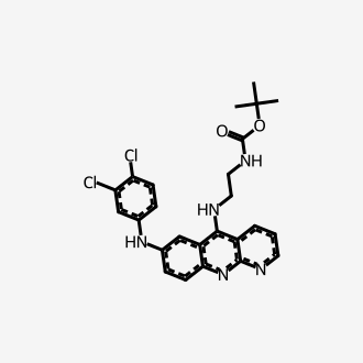 CC(C)(C)OC(=O)NCCNc1c2cc(Nc3ccc(Cl)c(Cl)c3)ccc2nc2ncccc12